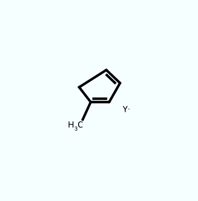 CC1=CC=CC1.[Y]